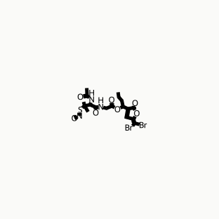 CCCC(OC(=O)CNC(=O)C(NC(C)=O)C(C)(C)SN=O)C1=CC(=C(Br)Br)OC1=O